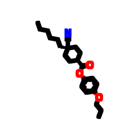 CCCCCC[C@]1(C#N)CC[C@@H](C(=O)Oc2ccc(OCCC)cc2)CC1